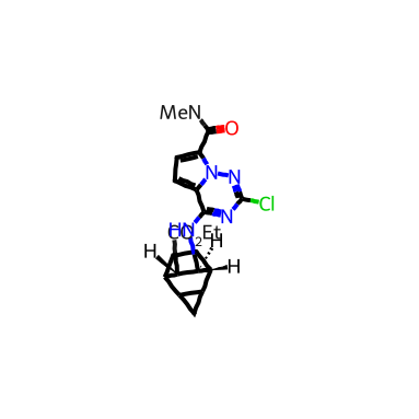 CCOC(=O)[C@H]1C2CC[C@H](C3CC32)[C@@H]1Nc1nc(Cl)nn2c(C(=O)NC)ccc12